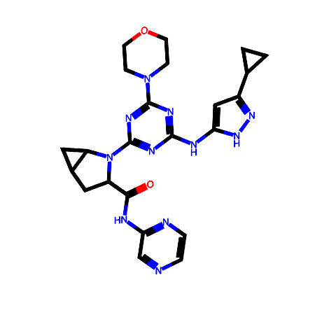 O=C(Nc1cnccn1)C1CC2CC2N1c1nc(Nc2cc(C3CC3)n[nH]2)nc(N2CCOCC2)n1